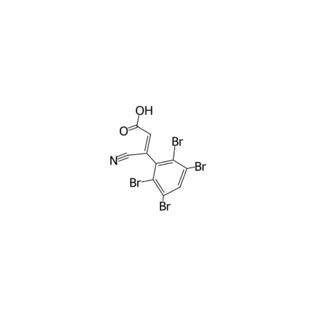 N#CC(=CC(=O)O)c1c(Br)c(Br)cc(Br)c1Br